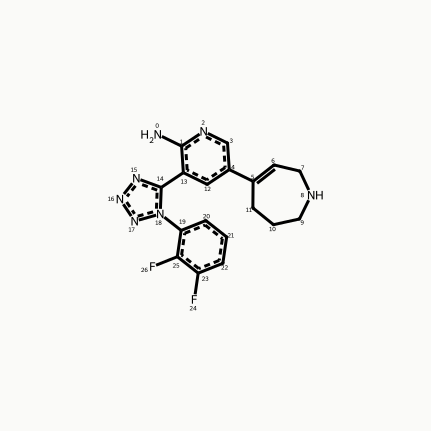 Nc1ncc(C2=CCNCCC2)cc1-c1nnnn1-c1cccc(F)c1F